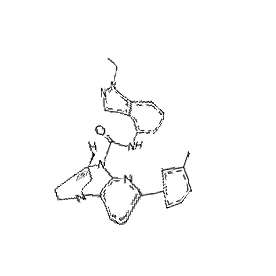 CCn1ncc2c(NC(=O)N3c4nc(-c5cccc(C)c5)ccc4N4CC[C@H]3C4)cccc21